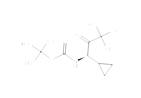 CC(C)(C)OC(=O)N[C@@H](C(=O)C(C)(C)O)C1CC1